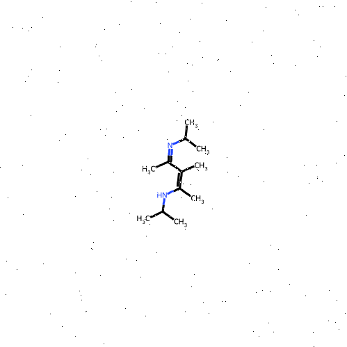 CC(=NC(C)C)C(C)=C(C)NC(C)C